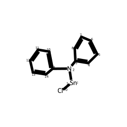 [Cl][Sn][N](c1ccccc1)c1ccccc1